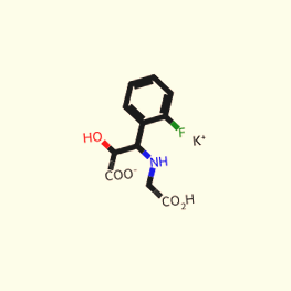 O=C(O)CNC(c1ccccc1F)C(O)C(=O)[O-].[K+]